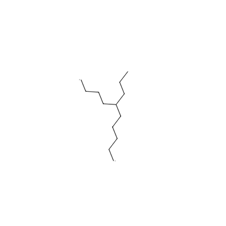 [CH2]CCCCC(CCC)CCC[CH2]